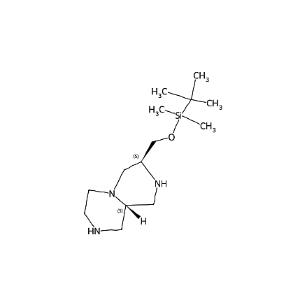 CC(C)(C)[Si](C)(C)OC[C@@H]1CN2CCNC[C@H]2CN1